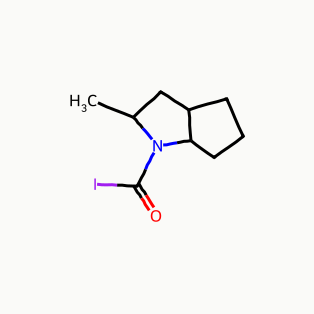 CC1CC2CCCC2N1C(=O)I